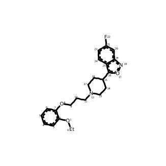 CCOc1ccccc1OCCCN1CCC(c2onc3cc(F)ccc23)CC1